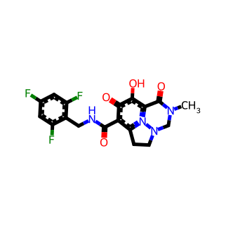 CN1CN2CCc3c(C(=O)NCc4c(F)cc(F)cc4F)c(=O)c(O)c(n32)C1=O